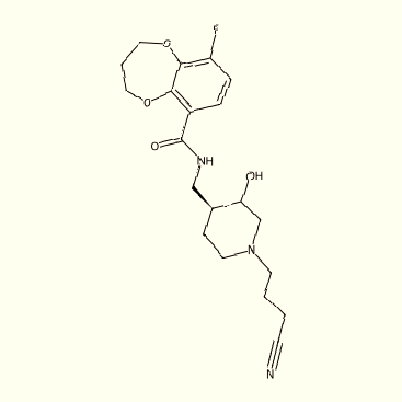 N#CCCCN1CC[C@@H](CNC(=O)c2ccc(F)c3c2OCCCO3)C(O)C1